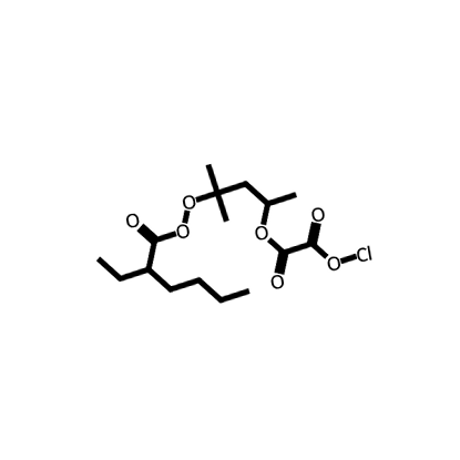 CCCCC(CC)C(=O)OOC(C)(C)CC(C)OC(=O)C(=O)OCl